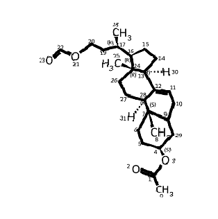 CC(=O)O[C@H]1CC[C@@]2(C)C(CC=C3[C@@H]4CC[C@H]([C@H](C)CCOC=O)[C@@]4(C)CC[C@@H]32)C1